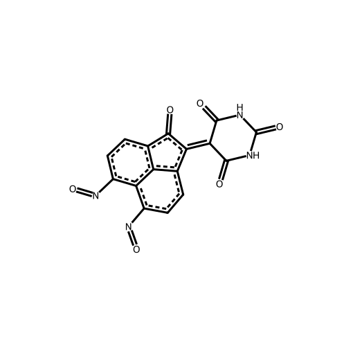 O=Nc1ccc2c(=O)c(=C3C(=O)NC(=O)NC3=O)c3ccc(N=O)c1c23